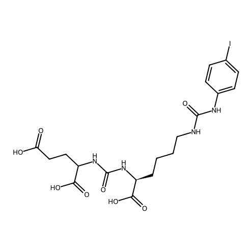 O=C(O)CCC(NC(=O)N[C@@H](CCCCNC(=O)Nc1ccc(I)cc1)C(=O)O)C(=O)O